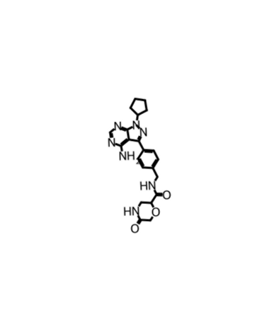 Nc1ncnc2c1c(-c1ccc(CNC(=O)C3CNC(=O)CO3)cc1)nn2C1CCCC1